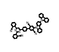 N#Cc1cc(-n2c3ccccc3c3cc(-n4c5ccccc5c5ccccc54)ccc32)c(C#N)cc1-c1ccc(-c2cc(-c3ccccc3C#N)nc(-c3ccccc3C#N)n2)cc1